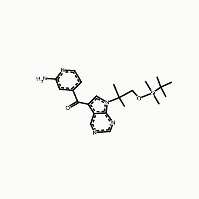 CC(C)(CO[Si](C)(C)C(C)(C)C)n1cc(C(=O)c2ccnc(N)c2)c2cncnc21